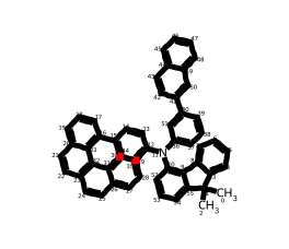 CC1(C)c2ccccc2-c2c(N(c3ccc(-c4cccc5ccc6ccc7ccccc7c6c45)cc3)c3cccc(-c4ccc5ccccc5c4)c3)cccc21